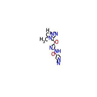 CC(C)n1cc(C(=O)c2cncc(NC(=O)c3ccn4cncc4c3)c2)c2cncnc21